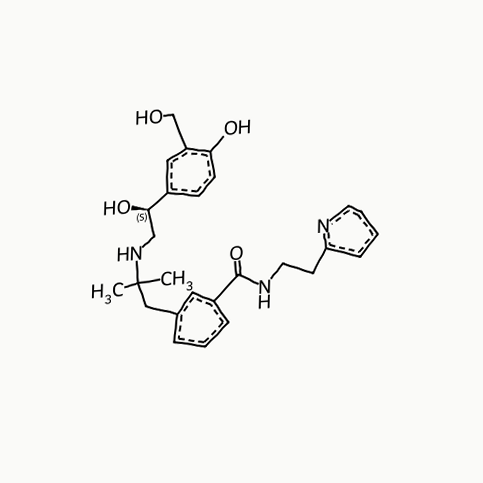 CC(C)(Cc1cccc(C(=O)NCCc2ccccn2)c1)NC[C@@H](O)c1ccc(O)c(CO)c1